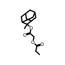 CCC(=O)OCC(=O)OC1(C)C2CC3CC(C2)CC1C3